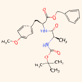 COc1ccc(C[C@H](NC(=O)[C@@H](C)NC(=O)OC(C)(C)C)C(=O)OCc2ccccc2)cc1